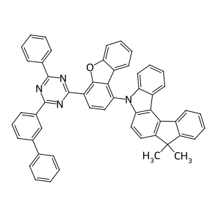 CC1(C)c2ccccc2-c2c1ccc1c2c2ccccc2n1-c1ccc(-c2nc(-c3ccccc3)nc(-c3cccc(-c4ccccc4)c3)n2)c2oc3ccccc3c12